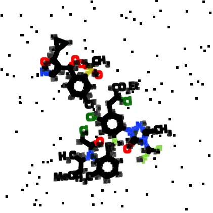 CCOC(=O)C(Cl)Cc1cc(-n2nc(C)n(C(F)F)c2=O)c(F)cc1Cl.CCc1cccc(C)c1N(C(=O)CCl)C(C)COC.CS(=O)(=O)c1cc(C(F)(F)F)ccc1C(=O)c1cnoc1C1CC1